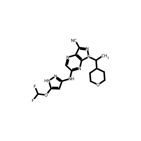 CC(C1CCOCC1)n1nc(C#N)c2ncc(Nc3cc(OC(F)F)[nH]n3)nc21